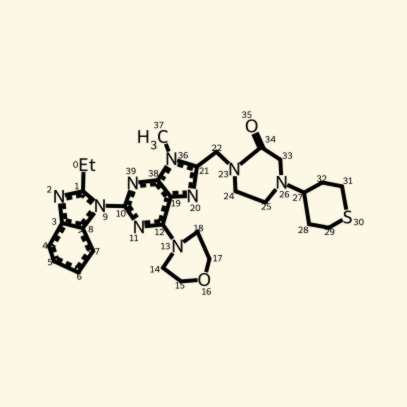 CCc1nc2ccccc2n1-c1nc(N2CCOCC2)c2nc(CN3CCN(C4CCSCC4)CC3=O)n(C)c2n1